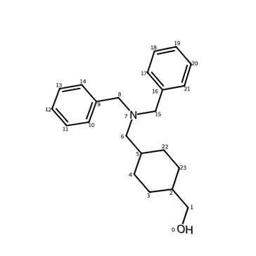 OCC1CCC(CN(Cc2ccccc2)Cc2ccccc2)CC1